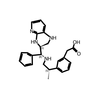 C[C@H](CN[C@H](c1ccccc1)[C@@H]1CNc2cccnc2N1)c1cccc(CC(=O)O)c1